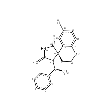 C[C@@H](c1ccccc1)N1C(=O)NC(=O)[C@@]12CCOc1ccc(Cl)cc12